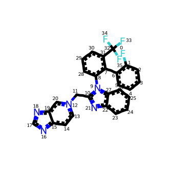 Fc1ccccc1-c1c(-n2c(Cn3ccc4ncnc-4c3)nc3ccccc32)cccc1C(F)(F)F